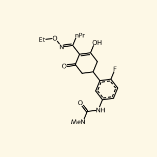 CCCC(=NOCC)C1=C(O)CC(c2cc(NC(=O)NC)ccc2F)CC1=O